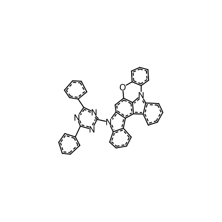 c1ccc(-c2nc(-c3ccccc3)nc(-n3c4ccccc4c4c5c6ccccc6n6c5c(cc43)Oc3ccccc3-6)n2)cc1